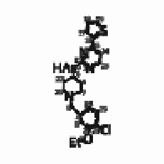 CCOc1cc(CN2CCC([AsH]c3nccc(-c4cccs4)n3)CC2)ccc1Cl